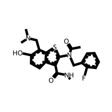 CNC(=O)c1c(N(Cc2ccccc2F)C(C)=O)sc2c(CN(C)C)c(O)ccc12